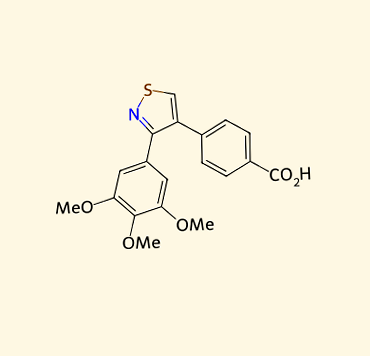 COc1cc(-c2nscc2-c2ccc(C(=O)O)cc2)cc(OC)c1OC